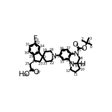 CC(C)(C)OC(=O)N1C[C@@H]2CCCN2c2cc(N3CCC4(CC3)C[C@@H](CC(=O)O)c3ccc(F)cc34)ccc21